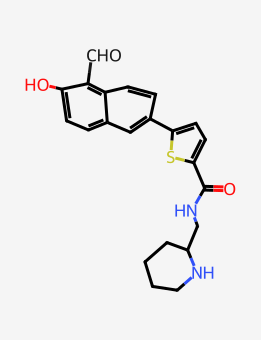 O=Cc1c(O)ccc2cc(-c3ccc(C(=O)NCC4CCCCN4)s3)ccc12